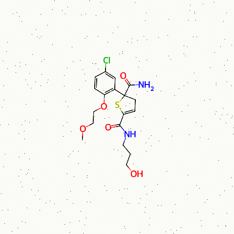 COCCOc1ccc(Cl)cc1C1(C(N)=O)CC=C(C(=O)NCCCO)S1